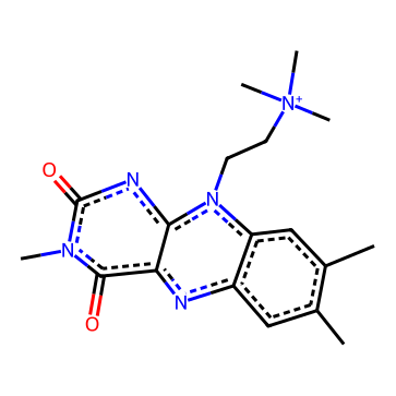 Cc1cc2nc3c(=O)n(C)c(=O)nc-3n(CC[N+](C)(C)C)c2cc1C